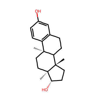 C[C@@]12CC[C@]3(C)[C@@H](O)CC[C@@]3(C)C1CCc1cc(O)ccc12